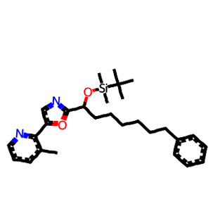 Cc1cccnc1-c1cnc(C(CCCCCCc2ccccc2)O[Si](C)(C)C(C)(C)C)o1